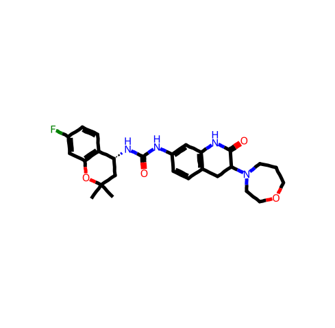 CC1(C)C[C@@H](NC(=O)Nc2ccc3c(c2)NC(=O)C(N2CCCOCC2)C3)c2ccc(F)cc2O1